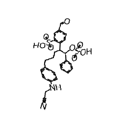 N#CCNc1ccc(CCCC(c2ccc(C=O)cc2S(=O)(=O)O)C(OS(=O)(=O)O)c2ccccc2)cc1